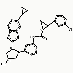 O=C(Nc1cc(N2C[C@@H](O)C[C@@H]2c2cn3cc(C4CC4)cnc3n2)ncn1)[C@H]1CC1c1cc(Cl)ccn1